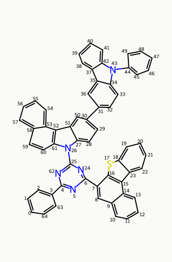 c1ccc(-c2nc(-c3cc4ccccc4c4c3sc3ccccc34)nc(-n3c4ccc(-c5ccc6c(c5)c5ccccc5n6-c5ccccc5)cc4c4c5ccccc5ccc43)n2)cc1